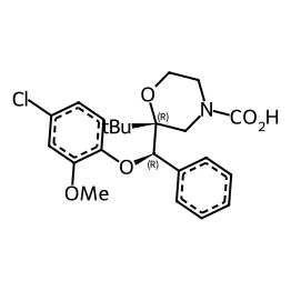 COc1cc(Cl)ccc1O[C@H](c1ccccc1)[C@@]1(C(C)(C)C)CN(C(=O)O)CCO1